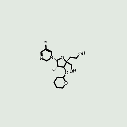 OCC[C@]1(CO)O[C@@H](N2C=C(F)C=NC2)[C@@H](F)[C@@H]1OC1CCCCO1